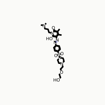 Cc1c(/N=N/c2ccc(S(=O)(=O)N3CCN(CCOCCO)CC3)cc2)c(O)n(CCCN(C)C)c(=O)c1C